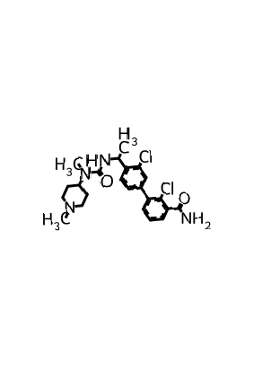 CC(NC(=O)N(C)C1CCN(C)CC1)c1ccc(-c2cccc(C(N)=O)c2Cl)cc1Cl